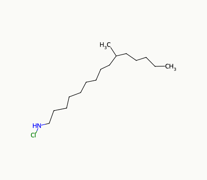 CCCCCC(C)CCCCCCCCCNCl